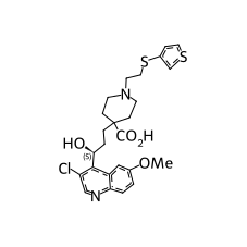 COc1ccc2ncc(Cl)c([C@@H](O)CCC3(C(=O)O)CCN(CCSc4ccsc4)CC3)c2c1